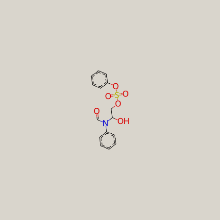 O=CN(c1ccccc1)C(O)COS(=O)(=O)Oc1ccccc1